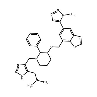 CN(C)Cc1[nH]nnc1CN1CCCC(OCc2cc(-c3cnnn3C)cc3ccoc23)C1c1ccccc1